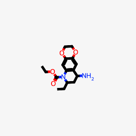 CCOC(=O)N1c2cc3c(cc2C(N)CC1CC)OCCO3